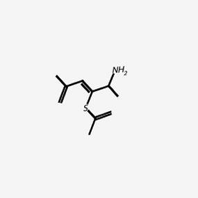 C=C(C)/C=C(\SC(=C)C)C(C)N